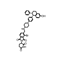 CN(Cc1ccc2c(c1Br)C(=O)N(C1CCC(=O)NC1=O)C2=O)C1CCN(c2ccc([C@@H]3c4ccc(O)cc4CC[C@@H]3c3ccccc3)cc2)CC1